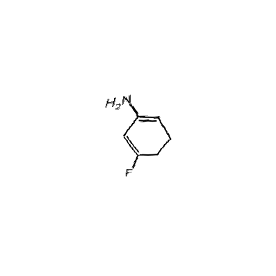 NC1=CCCC(F)=C1